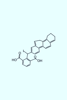 O=C(O)c1cccc(C(=O)O)c1C(I)c1ccc2c(c1)=CCc1c3c(ccc1=2)=CCCC3